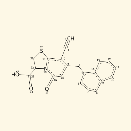 C#Cc1c(Cc2cccc3ccccc23)cc(=O)n2c1SCC2C(=O)O